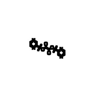 CC(C)(OC(=O)C(=O)OC(C)(C)c1cnccn1)c1cnccn1